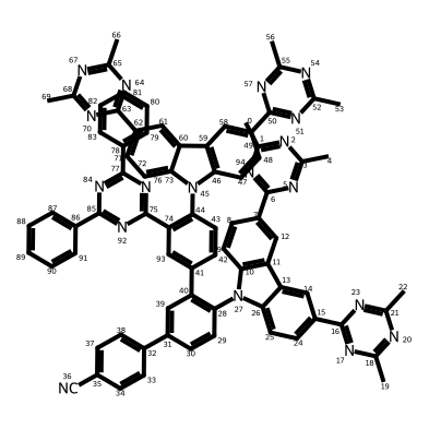 Cc1nc(C)nc(-c2ccc3c(c2)c2cc(-c4nc(C)nc(C)n4)ccc2n3-c2ccc(-c3ccc(C#N)cc3)cc2-c2ccc(-n3c4ccc(-c5nc(C)nc(C)n5)cc4c4cc(-c5nc(C)nc(C)n5)ccc43)c(-c3nc(-c4ccccc4)nc(-c4ccccc4)n3)c2)n1